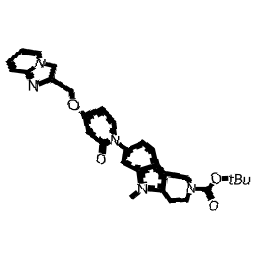 Cn1c2c(c3ccc(-n4ccc(OCC5CN6C=CC=CC6=N5)cc4=O)cc31)CN(C(=O)OC(C)(C)C)CC2